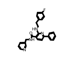 O=C(NCc1cccnc1)c1ccc(-c2ccccc2)nc1NCCc1ccc(F)cc1